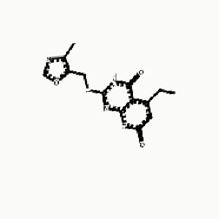 CCc1cc(=O)oc2nc(OCc3ocnc3C)[nH]c(=O)c12